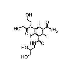 NC(=O)c1c(I)c(C(=O)NCC(O)CO)c(I)c(N(CCO)C(=O)CO)c1I